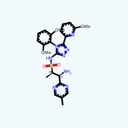 COc1cccc(-c2nnc(NS(=O)(=O)[C@H](C)[C@@H](N)c3ncc(C)cn3)n2-c2c(OC)cccc2OC)n1